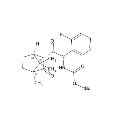 CC(C)(C)OC(=O)NN(C(=O)[C@@H]1C(=O)[C@@]2(C)CC[C@@H]1C2(C)C)c1ccccc1F